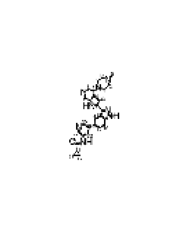 CN1CCN(c2cncc3[nH]c(-c4n[nH]c5ccc(-c6cncc(NC(=O)C7CC7)c6)cc45)cc23)CC1